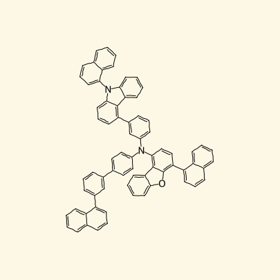 c1cc(-c2ccc(N(c3cccc(-c4cccc5c4c4ccccc4n5-c4cccc5ccccc45)c3)c3ccc(-c4cccc5ccccc45)c4oc5ccccc5c34)cc2)cc(-c2cccc3ccccc23)c1